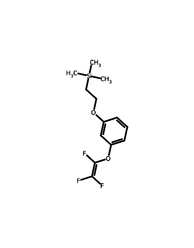 C[Si](C)(C)CCOc1cccc(OC(F)=C(F)F)c1